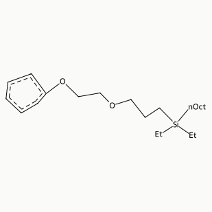 CCCCCCCC[Si](CC)(CC)CCCOCCOc1ccccc1